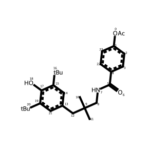 CC(=O)Oc1ccc(C(=O)NCC(C)(C)Cc2cc(C(C)(C)C)c(O)c(C(C)(C)C)c2)cc1